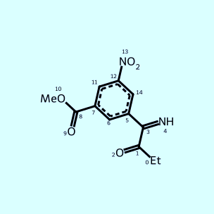 CCC(=O)C(=N)c1cc(C(=O)OC)cc([N+](=O)[O-])c1